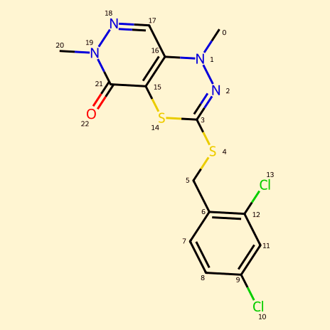 CN1N=C(SCc2ccc(Cl)cc2Cl)Sc2c1cnn(C)c2=O